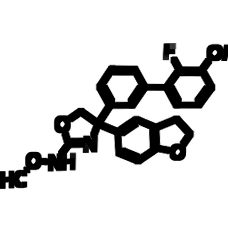 COc1cccc(-c2cccc(C3(c4ccc5c(c4)CCO5)COC(NOC=O)=N3)c2)c1F